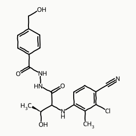 Cc1c(NC(C(=O)NNC(=O)c2ccc(CO)cc2)[C@H](C)O)ccc(C#N)c1Cl